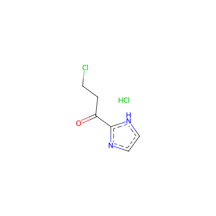 Cl.O=C(CCCl)c1ncc[nH]1